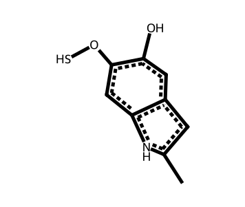 Cc1cc2cc(O)c(OS)cc2[nH]1